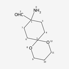 NC1(C=O)CCC2(CC1)OCCCO2